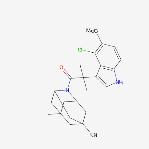 COc1ccc2[nH]cc(C(C)(C)C(=O)N3C4CC5(C)CC3CC(C#N)(C4)C5)c2c1Cl